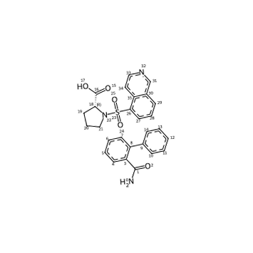 NC(=O)c1ccccc1-c1ccccc1.O=C(O)[C@H]1CCCN1S(=O)(=O)c1cccc2cnccc12